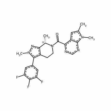 Cc1cc2c(C(=O)N3CCc4c(nn(C)c4-c4cc(F)c(F)c(F)c4)[C@@H]3C)ncnc2n1C